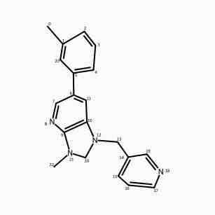 Cc1cccc(-c2cnc3c(c2)N(Cc2cccnc2)CN3C)c1